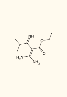 CCOC(=O)C(C(=N)C(C)C)=C(N)N